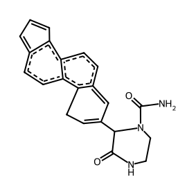 NC(=O)N1CCNC(=O)C1C1=CCc2c(ccc3c4c(ccc23)=CC=C4)=C1